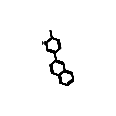 CC1C=CC(c2ccc3ccccc3c2)=[C]N1